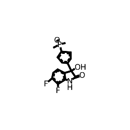 CP(C)(=O)c1ccc(C2(O)C(=O)Nc3c2ccc(F)c3F)cc1